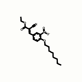 CCCCCCCCOc1ccc(/C=C(\C#N)C(=O)OCC)cc1[N+](=O)[O-]